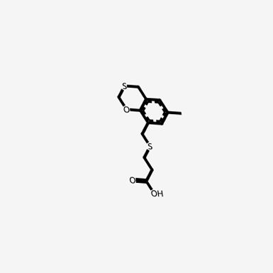 Cc1cc(CSCCC(=O)O)c2c(c1)CSCO2